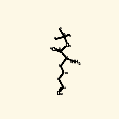 CC(C)(C)OC(=O)C(N)CCCC=O